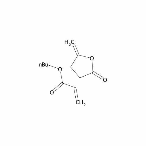 C=C1CCC(=O)O1.C=CC(=O)OCCCC